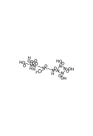 O=CO[C@H](CCCCN(Cc1ccc(I)cc1)C(=O)CCCCNC(=O)CN1CCN(CC(=O)O)CCN(CC(=O)O)CCN(CC(=O)O)CC1)NC(=O)N[C@@H](CCC(=O)O)C(=O)O